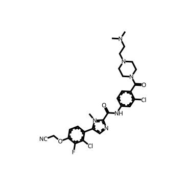 CN(C)CCN1CCN(C(=O)c2ccc(NC(=O)c3ncc(-c4ccc(OCC#N)c(F)c4Cl)n3C)cc2Cl)CC1